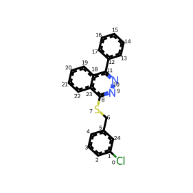 Clc1cccc(CSc2nnc(-c3ccccc3)c3ccccc23)c1